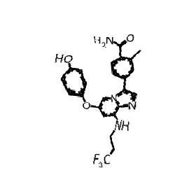 Cc1cc(-c2cnc3c(NCCC(F)(F)F)cc(Oc4ccc(O)cc4)cn23)ccc1C(N)=O